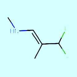 CN/C=C(\C)C(F)F